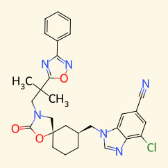 CC(C)(CN1C[C@@]2(CCC[C@H](Cn3cnc4c(Cl)cc(C#N)cc43)C2)OC1=O)c1nc(-c2ccccc2)no1